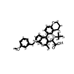 COc1cccc(Cn2ccc3c(-c4ccc5c(c4)CCCO5)c(C(OC(C)(C)C)C(=O)O)c(C)nc32)c1